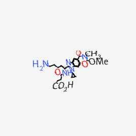 COC(=O)N(C)C(=O)c1ccc2c(c1)nc(C(CCCCN)NC(=O)CCC(=O)O)n2C1CC1